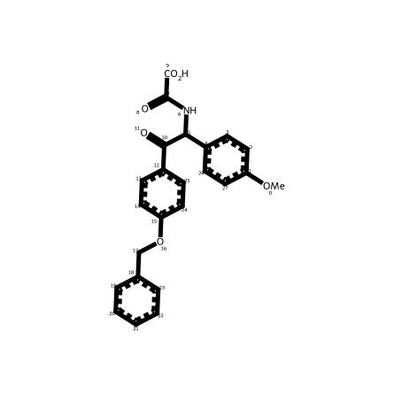 COc1ccc(C(NC(=O)C(=O)O)C(=O)c2ccc(OCc3ccccc3)cc2)cc1